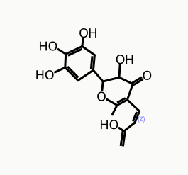 C=C(O)/C=C\C1=C(C)OC(c2cc(O)c(O)c(O)c2)C(O)C1=O